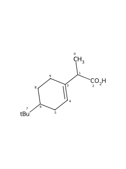 CC(C(=O)O)C1=CCC(C(C)(C)C)CC1